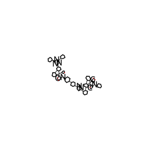 c1ccc(-c2nc(-c3ccccc3)nc(-c3ccc4c(c3)-c3ccccc3C43c4ccccc4N(c4ccc(-c5ccc(-c6ccc(-c7ccccc7-c7ccc8c(c7)C7(c9ccccc9-8)c8ccccc8N(c8ccccc8)c8ccccc87)nn6)cc5)cc4)c4ccccc43)n2)cc1